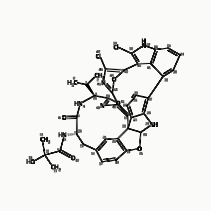 CC(C)[C@@H]1NC(=O)[C@@H](NC(=O)C(C)(C)O)Cc2ccc3c(c2)C24c5cccc(c5NC2O3)-c2cccc3[nH]c(Cl)c(c23)-c2oc(nc2Cl)-c2nc1oc24